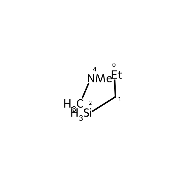 CCC[SiH3].CNC